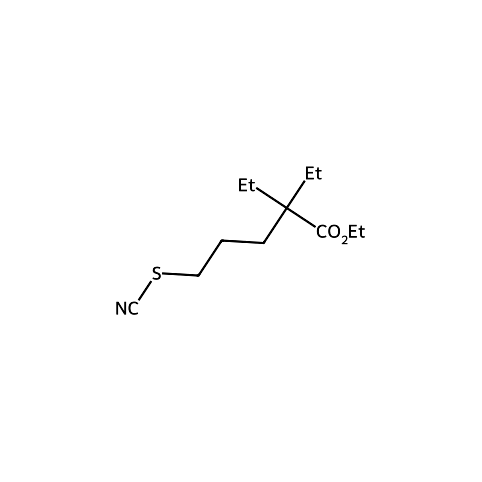 CCOC(=O)C(CC)(CC)CCCSC#N